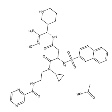 CC(=O)O.NC(=NO)[C@@H](NC(=O)CC(NS(=O)(=O)c1ccc2ccccc2c1)C(=O)N(CCNC(=O)c1cnccn1)C1CC1)C1CCCNC1